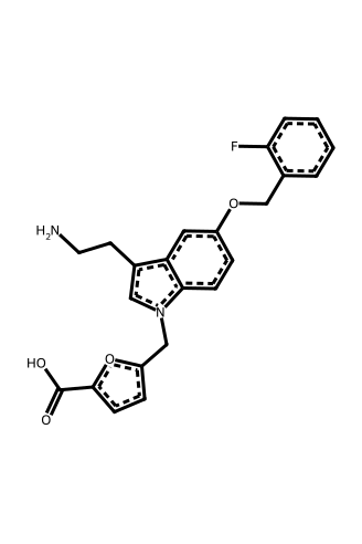 NCCc1cn(Cc2ccc(C(=O)O)o2)c2ccc(OCc3ccccc3F)cc12